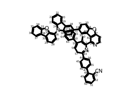 CC1=C(c2nccc3oc4ccc(-c5ccc6c(c5)c5ccccc5n6-c5cccc6c5oc5ccccc56)cc4c23)N=C(c2ccc(-c3ccccc3C#N)cc2)CC=C1c1ccccc1